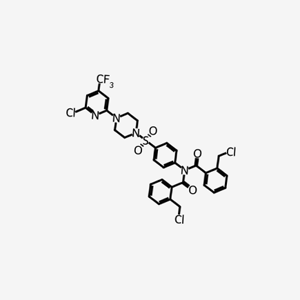 O=C(c1ccccc1CCl)N(C(=O)c1ccccc1CCl)c1ccc(S(=O)(=O)N2CCN(c3cc(C(F)(F)F)cc(Cl)n3)CC2)cc1